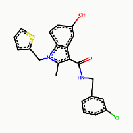 Cc1c(C(=O)NCc2cccc(Cl)c2)c2cc(O)ccc2n1Cc1cccs1